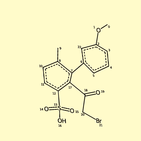 COc1cccc(-c2c(C)ccc(S(=O)(=O)O)c2C(=O)CBr)c1